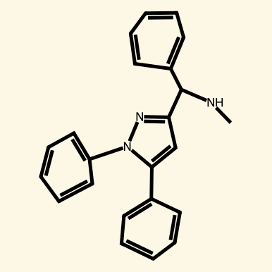 CNC(c1ccccc1)c1cc(-c2ccccc2)n(-c2ccccc2)n1